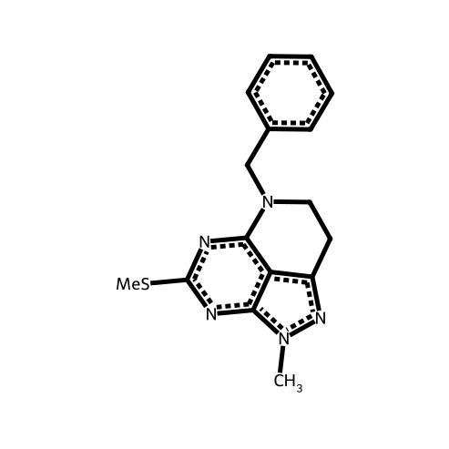 CSc1nc2c3c(nn(C)c3n1)CCN2Cc1ccccc1